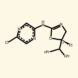 CCCC(CCC)[C@@]1(CC)CN=C(Nc2cnc(Cl)cn2)O1